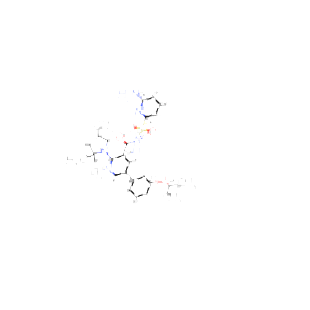 CC1CN(c2ncc(-c3cccc(OC(C)C)c3)cc2C(=O)NS(=O)(=O)c2cccc(N)n2)C(C)(C)C1